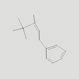 CC(=CCc1ccccc1)C(C)(C)C